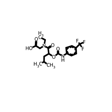 CCN(CC(=O)O)C(=O)C(CC(C)C)OC(=O)Nc1ccc(C(F)(F)F)cc1